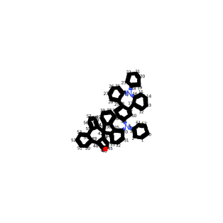 c1ccc(N(c2ccc3c(c2)-c2ccccc2N(c2ccccc2)c2ccccc2-3)c2cccc3c2-c2ccccc2C32c3ccccc3-c3ccccc3-c3ccccc32)cc1